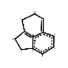 C1=c2cccc3c2=C(CC1)CC3